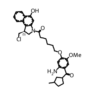 COc1cc(C(=O)C2CCC(C)C2)c(N)cc1OCCCCCC(=O)N1C[C@@H](CCl)c2c1cc(O)c1ccccc21